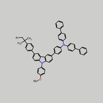 CC(C)CC(C)(C)c1ccc(-c2ccc3c(c2)c2cc(-c4ccc(N(c5ccc(-c6ccccc6)cc5)c5ccc(-c6ccccc6)cc5)cc4)ccc2n3-c2ccc(OC(C)(C)C)cc2)cc1